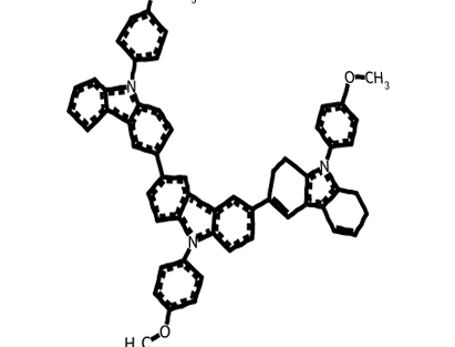 COc1ccc(-n2c3c(c4c2CCC(c2ccc5c(c2)c2cc(-c6ccc7c(c6)c6ccccc6n7-c6ccc(OC)cc6)ccc2n5-c2ccc(OC)cc2)=C4)C=CCC3)cc1